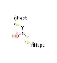 CCCCCCCSCC(O)CSCCCCCCC